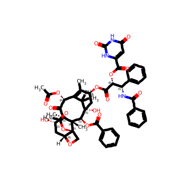 CC(=O)O[C@H]1C(=O)[C@]2(C)[C@@H](O)C[C@H]3OC[C@@]3(OC(C)=O)[C@@]2(C)[C@H](OC(=O)c2ccccc2)[C@]2(O)C[C@H](OC(=O)[C@H](OC(=O)c3cc(=O)[nH]c(=O)[nH]3)[C@@H](NC(=O)c3ccccc3)c3ccccc3)C(C)=C1C2(C)C